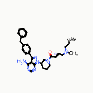 COCCN(C)C/C=C/C(=O)N1CCCC(n2nc(-c3ccc(Cc4ccccc4)cc3)c3c(N)ncnc32)C1